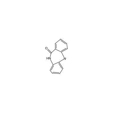 O=C1Nc2ccccc2[N]c2ccccc21